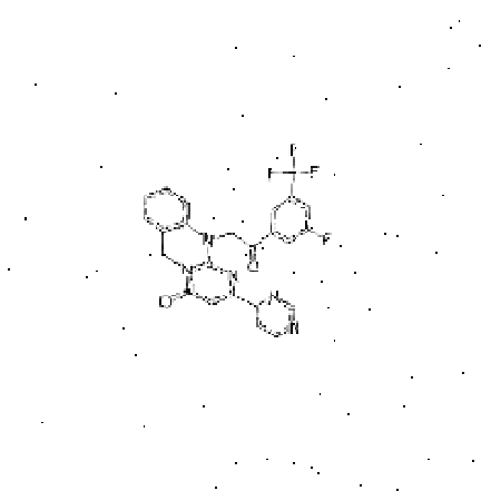 O=C(CN1c2ccccc2Cn2c1nc(-c1ccncn1)cc2=O)c1cc(F)cc(C(F)(F)F)c1